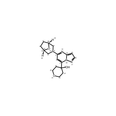 OC1(c2cc(N3C[C@H]4CC[C@@H](C3)O4)nc3ccnn23)CCOCC1